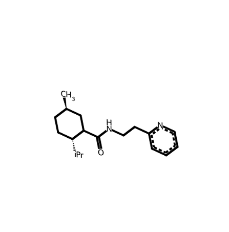 CC(C)[C@@H]1CC[C@@H](C)CC1C(=O)NCCc1ccccn1